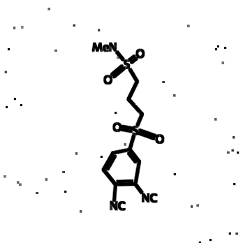 [C-]#[N+]c1ccc(S(=O)(=O)CCCS(=O)(=O)NC)cc1[N+]#[C-]